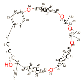 C#CC1(O)CCCCc2ccc(cc2)Oc2ccc(cc2)O[Si](C)(C)O[Si](C)(C)Oc2ccc(cc2)Oc2ccc1cc2